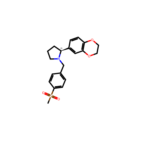 CS(=O)(=O)c1ccc(CN2CCC[C@H]2c2ccc3c(c2)OCCO3)cc1